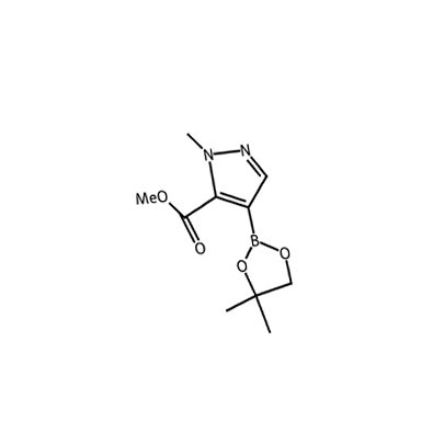 COC(=O)c1c(B2OCC(C)(C)O2)cnn1C